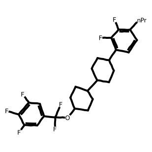 CCCc1ccc(C2CCC(C3CCC(OC(F)(F)c4cc(F)c(F)c(F)c4)CC3)CC2)c(F)c1F